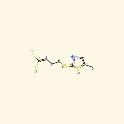 Cc1cnc(SCCC=C(F)F)s1